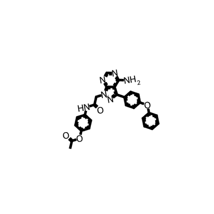 CC(=O)Oc1ccc(NC(=O)Cn2nc(-c3ccc(Oc4ccccc4)cc3)c3c(N)ncnc32)cc1